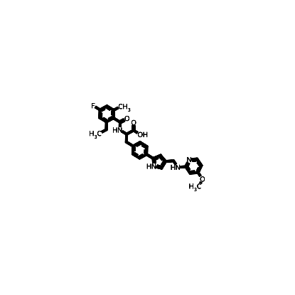 CCc1cc(F)cc(C)c1C(=O)NC(Cc1ccc(-c2cc(CNc3cc(OC)ccn3)c[nH]2)cc1)C(=O)O